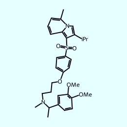 COc1ccc(C(C)N(C)CCCOc2ccc(S(=O)(=O)c3c(C(C)C)cn4c(C)cccc34)cc2)cc1OC